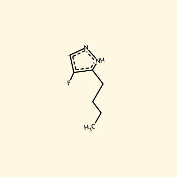 CCCCc1[nH]n[c]c1F